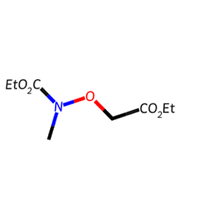 CCOC(=O)CON(C)C(=O)OCC